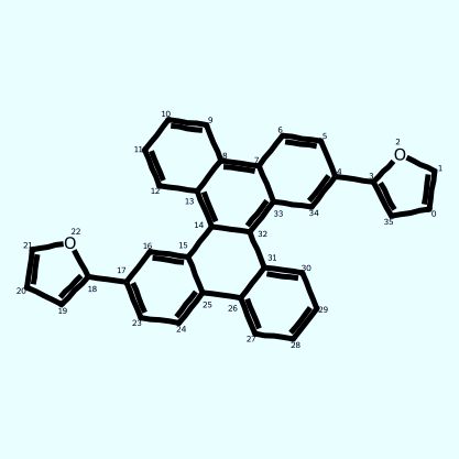 c1coc(-c2ccc3c4ccccc4c4c5cc(-c6ccco6)ccc5c5ccccc5c4c3c2)c1